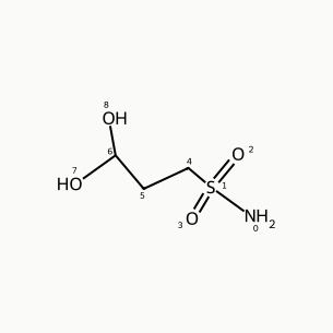 NS(=O)(=O)CCC(O)O